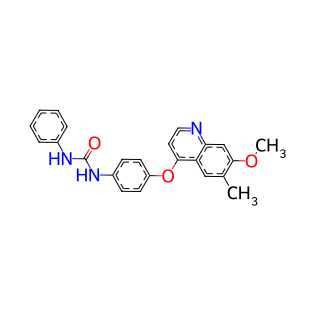 COc1cc2nccc(Oc3ccc(NC(=O)Nc4ccccc4)cc3)c2cc1C